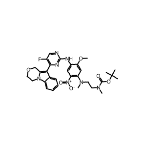 COc1cc(N(C)CCN(C)C(=O)OC(C)(C)C)c([N+](=O)[O-])cc1Nc1ncc(F)c(-c2c3n(c4ccccc24)CCOC3)n1